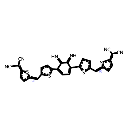 N#CC(C#N)=c1cc/c(=C/c2ccc(C3=CC=C(c4ccc(/C=c5/ccc(=C(C#N)C#N)s5)s4)C(=N)C3=N)s2)s1